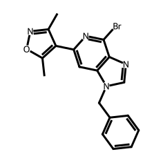 Cc1noc(C)c1-c1cc2c(ncn2Cc2ccccc2)c(Br)n1